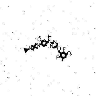 COc1cc(Nc2ncc(OCc3c(F)c(C)cc(OC)c3F)cn2)ccc1N1CC2(C1)CN(C1CC1)C2